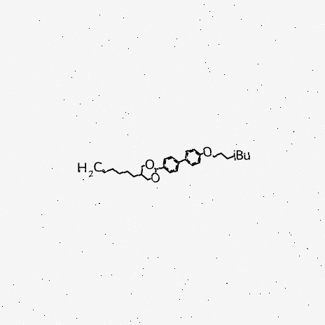 C=CCCCCC1COC(c2ccc(-c3ccc(OCCCC(C)CC)cc3)cc2)OC1